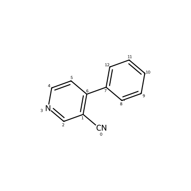 N#Cc1cnccc1-c1[c]cccc1